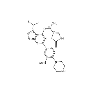 COc1cc(-c2cc3ncn(C(F)F)c3c(O[C@H](C)[C@H]3CNC(=O)C3)n2)ccc1N1CCNCC1